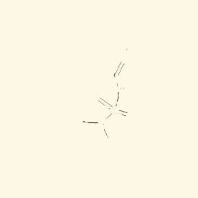 CN(C)S(=O)(=O)NC=O